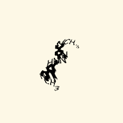 Cc1cc(-c2ccc3c(NCc4ccc(-c5ccnc(C)c5)c(F)c4)ncnc3c2)ccn1